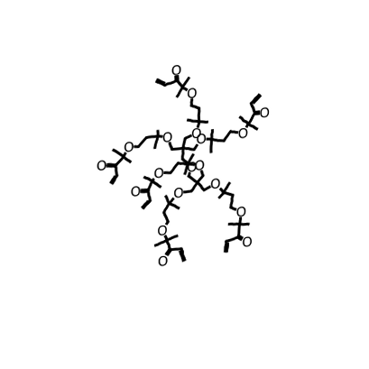 C=CC(=O)C(C)(C)OCCC(C)(C)OCC(COCC(COC(C)(C)CCOC(C)(C)C(=O)C=C)(COC(C)(C)CCOC(C)(C)C(=O)C=C)COC(C)(C)CCOC(C)(C)C(=O)C=C)(COC(C)(C)CCOC(C)(C)C(=O)C=C)COC(C)(C)CCOC(C)(C)C(=O)C=C